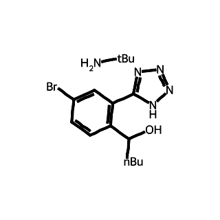 CC(C)(C)N.CCCCC(O)c1ccc(Br)cc1-c1nnn[nH]1